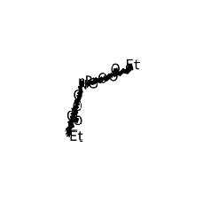 CC/C=C\CCC(=O)OCCOCCOCCN(CCC)CCOCCOCCOC(=O)CC/C=C\CC